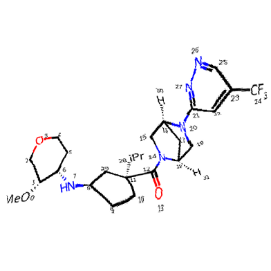 CO[C@@H]1COCC[C@@H]1N[C@@H]1CC[C@@](C(=O)N2C[C@@H]3C[C@H]2CN3c2cc(C(F)(F)F)cnn2)(C(C)C)C1